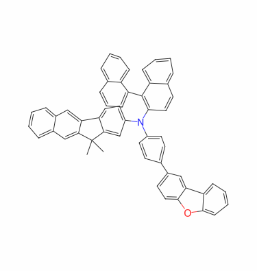 CC1(C)c2cc(N(c3ccc(-c4ccc5oc6ccccc6c5c4)cc3)c3ccc4ccccc4c3-c3cccc4ccccc34)ccc2-c2cc3ccccc3cc21